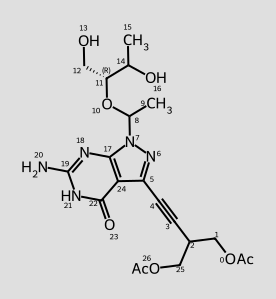 CC(=O)OCC(C#Cc1nn(C(C)O[C@H](CO)C(C)O)c2nc(N)[nH]c(=O)c12)COC(C)=O